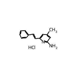 Cc1cc(N)nc(C=Cc2ccccc2)c1.Cl